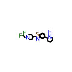 FC(F)CN1CCC(c2nc3cc(C4CCCCN4)ccc3s2)CC1